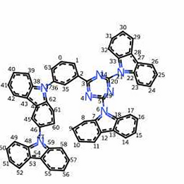 c1cc(-c2nc(-n3c4ccccc4c4ccccc43)nc(-n3c4ccccc4c4ccccc43)n2)cc(-n2c3ccccc3c3cc(-n4c5ccccc5c5ccccc54)ccc32)c1